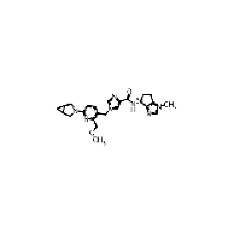 COCc1nc(N2CC3CC3C2)ccc1Cn1cnc(C(=O)N[C@@H]2CCc3c2ncn3C)c1